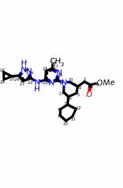 COC(=O)CC1CC(C2CCCCC2)CN(c2nc(C)cc(Nc3cc(C4CC4)[nH]n3)n2)C1